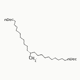 [CH2]C(CCCCCCCCCCCCCCCCCCCC)CCCCCCCCCCCCCCCCCCCC